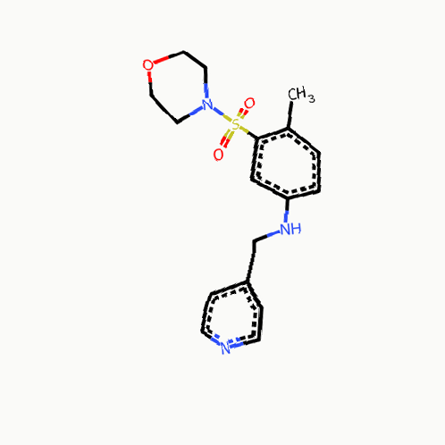 Cc1ccc(NCc2ccncc2)cc1S(=O)(=O)N1CCOCC1